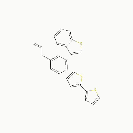 C=CCc1ccccc1.c1ccc2sccc2c1.c1csc(-c2cccs2)c1